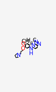 COc1ccc(Nc2ccc3ncn(C)c3n2)cc1OCCCN1CCCC1